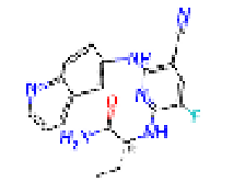 CC[C@@H](Nc1nc(Nc2ccc3ncccc3c2)c(C#N)cc1F)C(N)=O